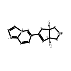 C1=C(c2ccc3nccn3c2)C[C@@H]2CNC[C@H]12